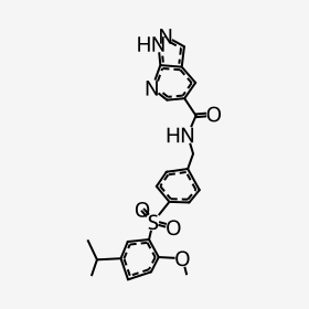 COc1ccc(C(C)C)cc1S(=O)(=O)c1ccc(CNC(=O)c2cnc3[nH]ncc3c2)cc1